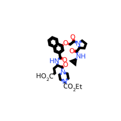 CCOC(=O)N1CCN(C(=O)C(CCC(=O)O)NC(=O)c2cc(OCC(=O)N3CCCC3C(=O)NC3CC3)c3ccccc3c2)CC1